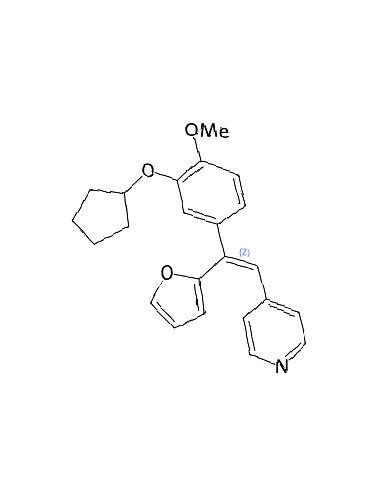 COc1ccc(/C(=C/c2ccncc2)c2ccco2)cc1OC1CCCC1